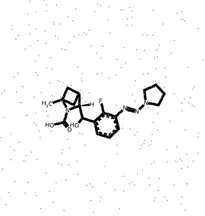 CC12CC(C1)[C@H](C(O)c1cccc(/N=N/N3CCCC3)c1F)N2C(=O)O